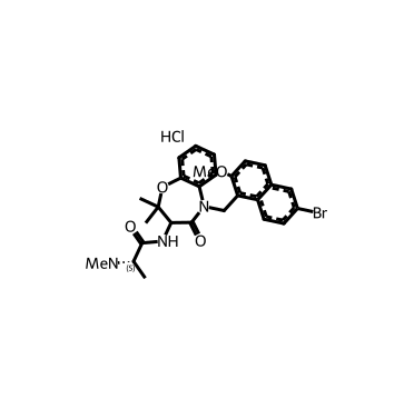 CN[C@@H](C)C(=O)NC1C(=O)N(Cc2c(OC)ccc3cc(Br)ccc23)c2ccccc2OC1(C)C.Cl